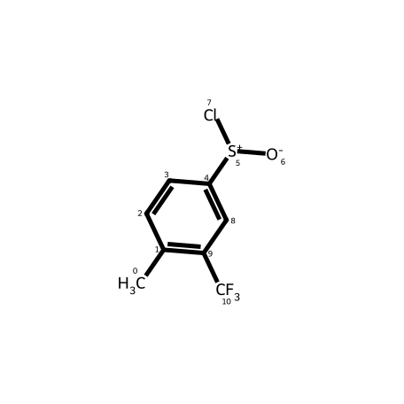 Cc1ccc([S+]([O-])Cl)cc1C(F)(F)F